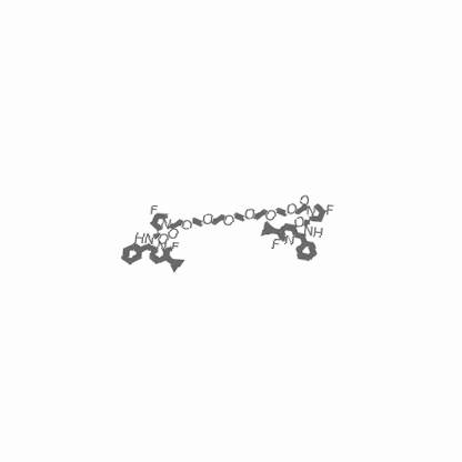 O=C(N[C@@H](c1ccccc1)c1ccc(C2CC2)c(F)n1)[C@@H]1C[C@@H](F)CN1C(=O)COCCOCCOCCOCCOCCOCC(=O)N1C[C@H](F)C[C@H]1C(=O)N[C@@H](c1ccccc1)c1ccc(C2CC2)c(F)n1